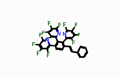 Fc1nc(-c2ccc(C=Cc3ccccc3)c(-c3nc(F)c(F)c(F)c3F)c2-c2nc(F)c(F)c(F)c2F)c(F)c(F)c1F